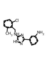 Cc1cccc(Cl)c1CNc1nc(-c2cccc(N)c2)n[nH]1